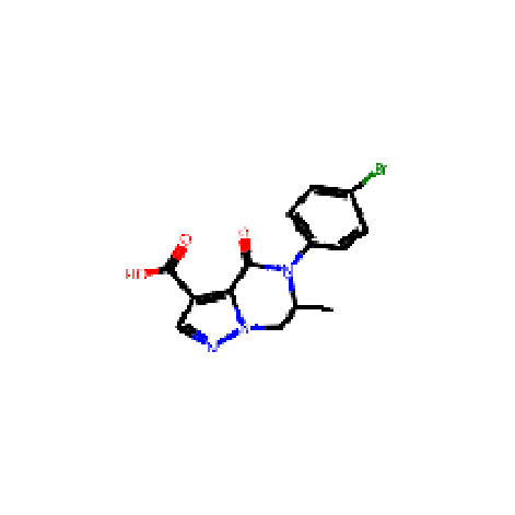 CC1Cn2ncc(C(=O)O)c2C(=O)N1c1ccc(Br)cc1